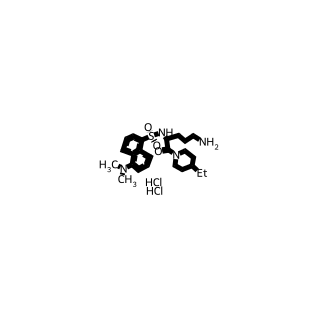 CCC1CCN(C(=O)C(CCCN)NS(=O)(=O)c2cccc3c(N(C)C)cccc23)CC1.Cl.Cl